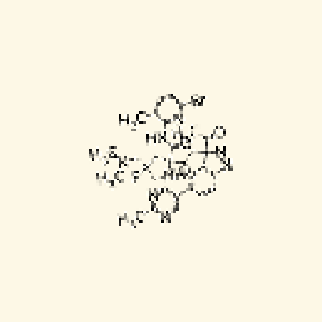 CC(=O)C1(CC(=O)C2(C(=O)Nc3nc(Br)ccc3C)CC(F)(CN(C)C)CN2)N=Nc2ccc(-c3cnc(C)nc3)cc21